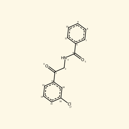 O=C(CNC(=O)c1ccccc1)c1cccc(Cl)c1